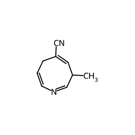 CC1/C=N\C=C/C/C(C#N)=C\1